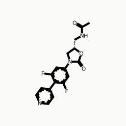 CC(=O)NC[C@H]1CN(c2cc(F)c(-c3ccncc3)c(F)c2)C(=O)O1